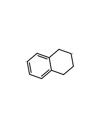 [C]1CCc2cc[c]cc2C1